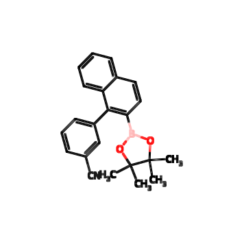 CC1(C)OB(c2ccc3ccccc3c2-c2cccc(C#N)c2)OC1(C)C